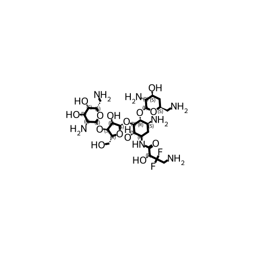 NC[C@@H]1C[C@H](O)[C@@H](N)[C@@H](O[C@H]2[C@H](O[C@@H]3O[C@H](CO)[C@@H](O[C@H]4O[C@@H](CN)[C@@H](O)[C@H](O)[C@H]4N)[C@H]3O)[C@@H](O)[C@H](NC(=O)[C@@H](O)C(F)(F)CN)C[C@@H]2N)O1